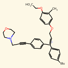 Cc1cc(OC/C=C(\c2ccc(C#CCN3CCOCC3)cc2)c2ccc(C(C)(C)C)cc2)ccc1OCC(=O)O